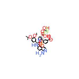 CCOc1cc(C(Nc2ccc3c(N)nccc3c2)C(=O)N2CC[C@H](C(=O)O)[C@H]2c2cc(C(=O)OC)ccc2S(=O)(=O)C(C)C)ccc1OC(C)C.O=C(O)C(F)(F)F